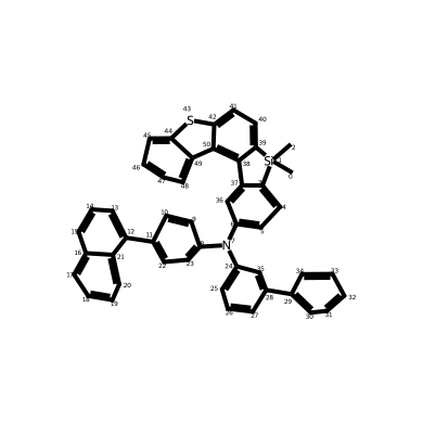 C[Si]1(C)c2ccc(N(c3ccc(-c4cccc5ccccc45)cc3)c3cccc(-c4ccccc4)c3)cc2-c2c1ccc1sc3ccccc3c21